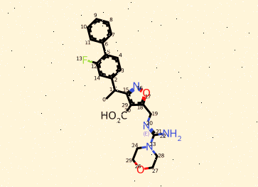 CC(c1ccc(-c2ccccc2)c(F)c1)c1noc(C/N=C(\N)N2CCOCC2)c1C(=O)O